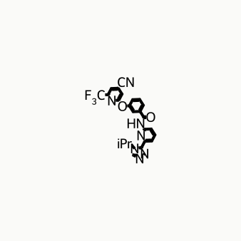 CC(C)n1cnnc1-c1cccc(NC(=O)c2cccc(Oc3cc(C#N)cc(C(F)(F)F)n3)c2)n1